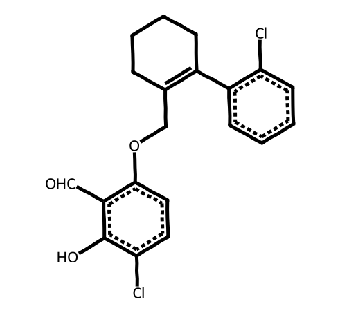 O=Cc1c(OCC2=C(c3ccccc3Cl)CCCC2)ccc(Cl)c1O